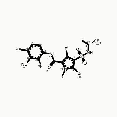 C[C@@H](NS(=O)(=O)c1c(F)c(C(=O)Nc2ccc(F)c(C#N)c2F)n(C)c1Br)C(F)(F)F